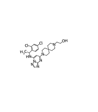 CC(Nc1cc(N2CCC3(CCN(CCO)CC3)CC2)nc2ncnn12)c1ccc(Cl)cc1Cl